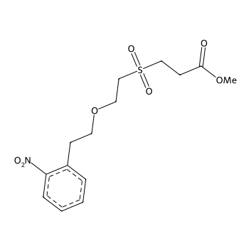 COC(=O)CCS(=O)(=O)CCOCCc1ccccc1[N+](=O)[O-]